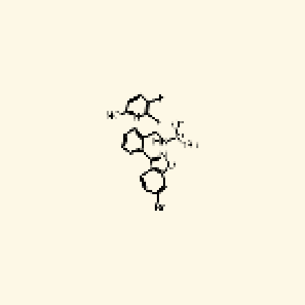 CC(C)(C)[S+]([O-])N[C@@H](Cc1nc(C#N)ccc1F)c1ccccc1-c1noc2cc(Br)ccc12